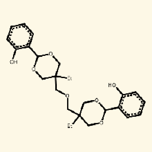 CCC1(COCC2(CC)COC(c3ccccc3O)OC2)COC(c2ccccc2O)OC1